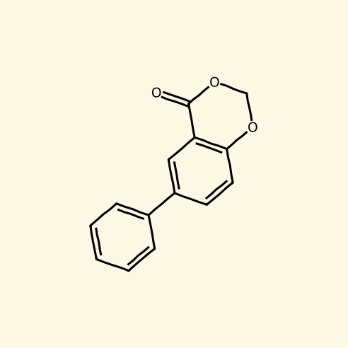 O=C1OCOc2ccc(-c3ccccc3)cc21